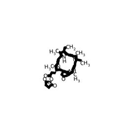 C=Cc1c(C)c2cc3nc(c4c5[nH]c(cc6nc(cc1[nH]2)C(C)=C6CC)c(C)c5C(=O)C4)[C@@H](CCC(=O)ON1C(=O)CCC1=O)[C@@H]3C